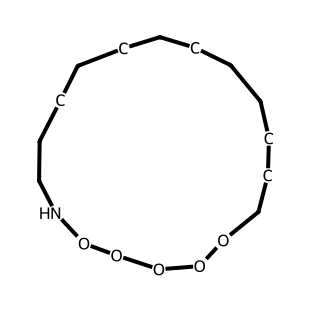 C1CCCCCCOOOOONCCCCC1